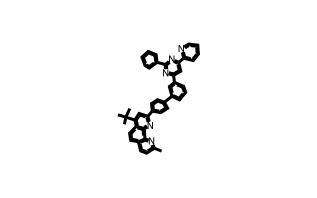 Cc1ccc2ccc3c(C(C)(C)C)cc(-c4ccc(-c5cccc(-c6cc(-c7ccccn7)nc(-c7ccccc7)n6)c5)cc4)nc3c2n1